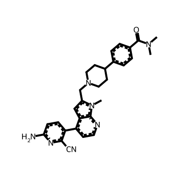 CN(C)C(=O)c1ccc(C2CCN(Cc3cc4c(-c5ccc(N)nc5C#N)ccnc4n3C)CC2)cc1